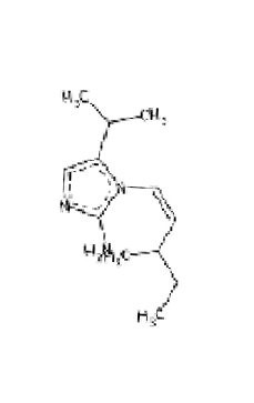 CCC(C)/C=C\n1c(C(C)C)cnc1N